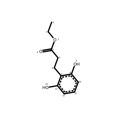 CCOC(=O)CCc1c(O)cccc1O